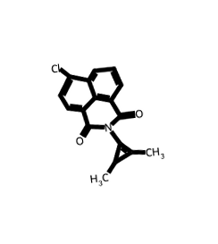 CC1=C(N2C(=O)c3cccc4c(Cl)ccc(c34)C2=O)C1C